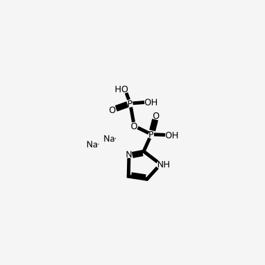 O=P(O)(O)OP(=O)(O)c1ncc[nH]1.[Na].[Na]